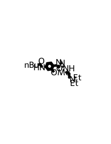 CCCCC(=O)Nc1ccc(-c2nnc(NCCCN(CC)CC)o2)c(OC)c1